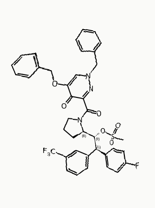 CS(=O)(=O)O[C@H]([C@@H](c1ccc(F)cc1)c1cccc(C(F)(F)F)c1)[C@H]1CCCN1C(=O)c1nn(Cc2ccccc2)cc(OCc2ccccc2)c1=O